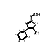 CCc1sc(CO)cc1-c1ccccc1